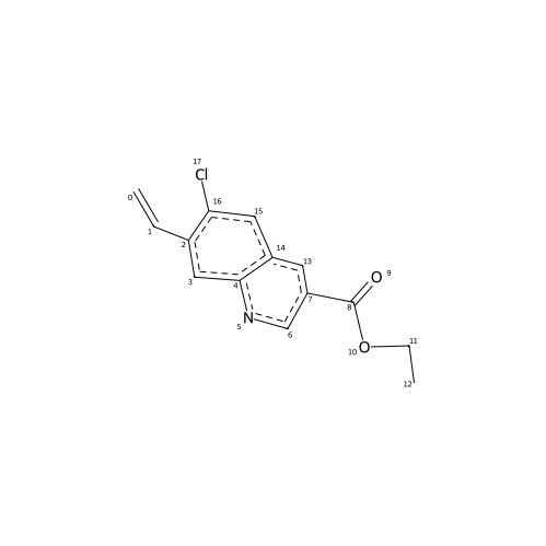 C=Cc1cc2ncc(C(=O)OCC)cc2cc1Cl